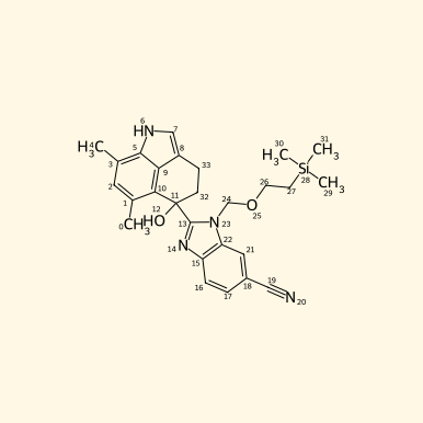 Cc1cc(C)c2[nH]cc3c2c1C(O)(c1nc2ccc(C#N)cc2n1COCC[Si](C)(C)C)CC3